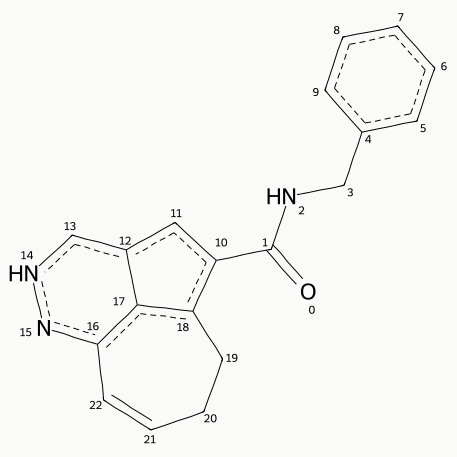 O=C(NCc1ccccc1)c1cc2c[nH]nc3c-2c1CCC=C3